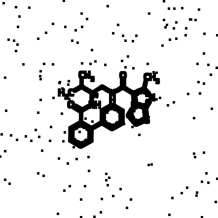 Cc1nc2sccn2c1C(=O)NC[C@@H](NC(=O)c1ccccc1-c1ccccc1)C(C)C